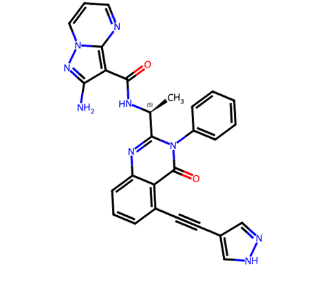 C[C@H](NC(=O)c1c(N)nn2cccnc12)c1nc2cccc(C#Cc3cn[nH]c3)c2c(=O)n1-c1ccccc1